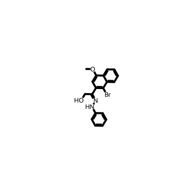 COc1cc(C(CO)=NNc2ccccc2)c(Br)c2ccccc12